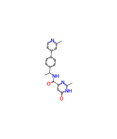 Cc1cc(-c2ccc(C(C)NC(=O)c3cc(=O)[nH]c(C)n3)cc2)ccn1